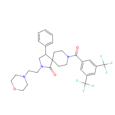 O=C(c1cc(C(F)(F)F)cc(C(F)(F)F)c1)N1CCC2(CC1)C(=O)N(CCN1CCOCC1)CC2c1ccccc1